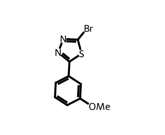 COc1cccc(-c2nnc(Br)s2)c1